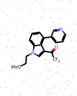 COCCn1cc(C(=O)C(F)(F)F)c2c(-c3cccnc3)cccc21